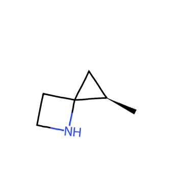 C[C@@H]1CC12CCN2